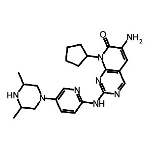 CC1CN(c2ccc(Nc3ncc4cc(N)c(=O)n(C5CCCC5)c4n3)nc2)CC(C)N1